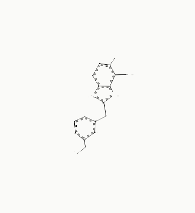 CCOC(=O)Cc1cccc(Cc2nc3ccc(F)c(F)c3s2)c1